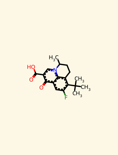 CC1CCc2c(C(C)(C)C)c(F)cc3c(=O)c(C(=O)O)cn1c23